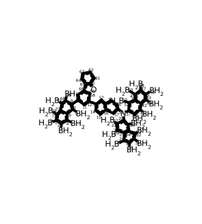 Bc1c(B)c(B)c2c(B)c(-c3cc(-c4ccc5cc(N(c6c(B)c(B)c7c(B)c(B)c(B)c(B)c7c6B)c6c(B)c(B)c7c(B)c(B)c(B)c(B)c7c6B)ccc5c4)c4oc5ccccc5c4c3)c(B)c(B)c2c1B